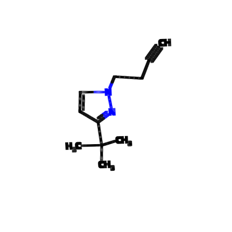 C#CCCn1ccc(C(C)(C)C)n1